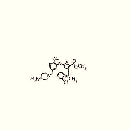 COC(=O)c1sc(-n2cnc3ccc(CN4CCC(N)CC4)cc32)cc1O[C@H](C)c1ccccc1Cl